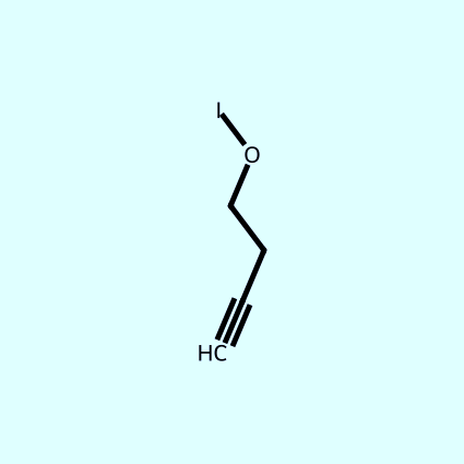 C#CCCOI